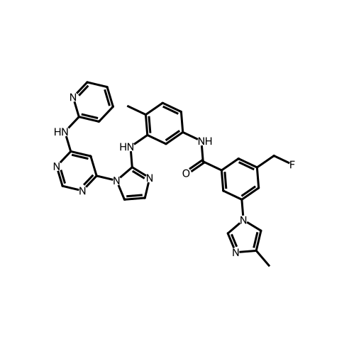 Cc1cn(-c2cc(CF)cc(C(=O)Nc3ccc(C)c(Nc4nccn4-c4cc(Nc5ccccn5)ncn4)c3)c2)cn1